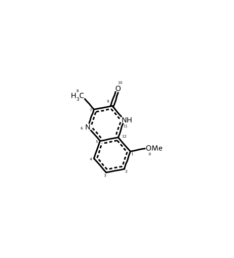 COc1cccc2nc(C)c(=O)[nH]c12